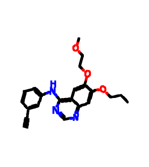 C#Cc1cccc(Nc2ncnc3cc(OCCC)c(OCCOC)cc23)c1